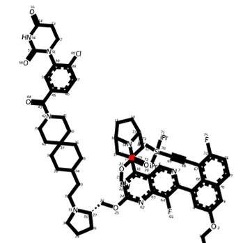 COCOc1cc(-c2ncc3c(N4CC5CCC(C4)N5C(=O)OC(C)(C)C)nc(OC[C@@H]4CCCN4CCC4CCC5(CC4)CCN(C(=O)c4ccc(Cl)c(N6CCC(=O)NC6=O)c4)CC5)nc3c2F)c2c(C#C[Si](C(C)C)(C(C)C)C(C)C)c(F)ccc2c1